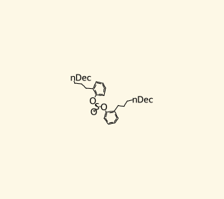 CCCCCCCCCCCCCc1ccccc1OS(=O)Oc1ccccc1CCCCCCCCCCCCC